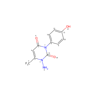 Nn1c(C(F)(F)F)cc(=O)n(-c2ccc(O)cc2)c1=O